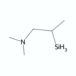 CC([SiH3])CN(C)C